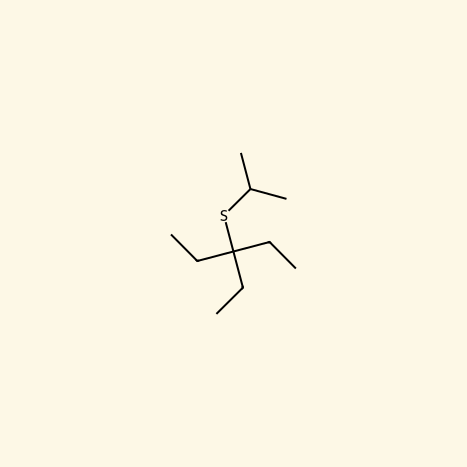 CCC(CC)(CC)SC(C)C